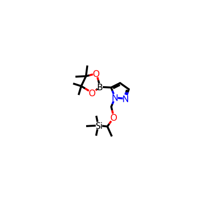 CC(OCn1nccc1B1OC(C)(C)C(C)(C)O1)[Si](C)(C)C